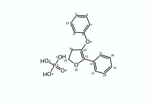 O=P(O)(O)O.c1ccc(OC2=C(c3ccccc3)OCC2)cc1